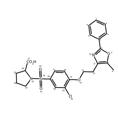 Cc1oc(-c2ccccc2)nc1CCOc1ccc(S(=O)(=O)N2CCCC2C(=O)O)cc1Cl